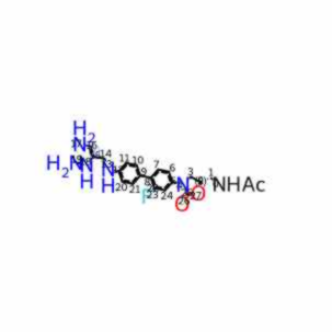 CC(=O)NC[C@H]1CN(c2ccc(-c3ccc(NC/C(=C/N)NN)cc3)c(F)c2)C(=O)O1